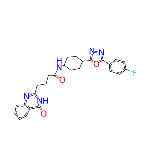 O=C(CCCc1nc2ccccc2c(=O)[nH]1)NC1CCC(c2nnc(-c3ccc(F)cc3)o2)CC1